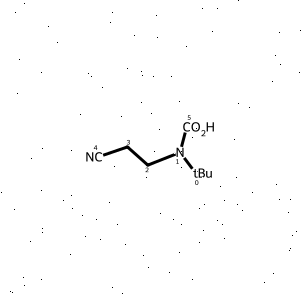 CC(C)(C)N(CCC#N)C(=O)O